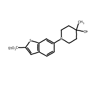 CCOC(=O)c1cc2ccc(N3CCC(C)(O)CC3)cc2s1